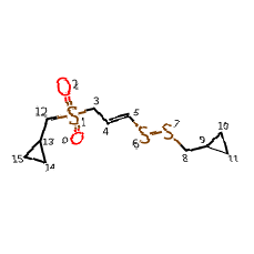 O=S(=O)(CC=CSSCC1CC1)CC1CC1